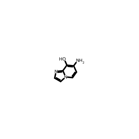 Nc1ccn2ccnc2c1O